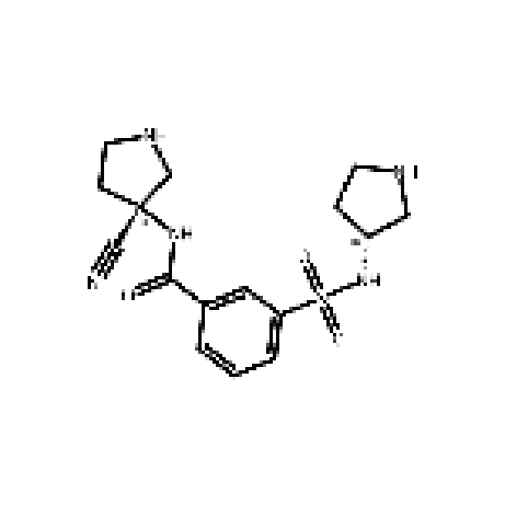 N#C[C@@]1(NC(=O)c2cccc(S(=O)(=O)N[C@@H]3CCNC3)c2)CCNC1